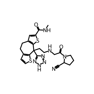 CNC(=O)c1cc2c(s1)C(CCNCC(=O)N1CCCC1C#N)(c1nn[nH]n1)c1sccc1CC2